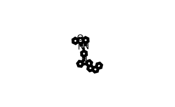 c1ccc2c(c1)Oc1cccc3nc(-c4ccc(-n5c6ccccc6c6c7ccc8ccc9ccccc9c8c7ccc65)cc4)nc-2c13